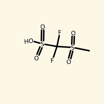 CS(=O)(=O)C(F)(F)S(=O)(=O)O